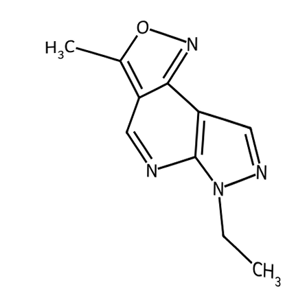 CCn1ncc2c3noc(C)c3cnc21